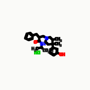 CCOC(=O)C(C)NC(=O)C(Cc1ccccc1)CN1CCC(C)(c2cccc(O)c2)C(C)C1.Cl